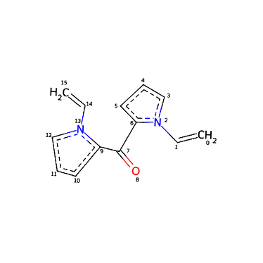 C=Cn1cccc1C(=O)c1cccn1C=C